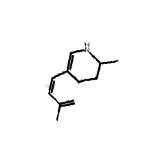 C=C(C)/C=C\C1=CNC(C)CC1